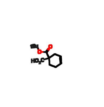 CC(C)(C)OC(=O)C1(C(=O)O)CC=CCC1